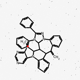 C=C1c2ccccc2N2N=C(c3ccccc3)N(c3ccccc3)C2C2C1c1ccccc1N1c3cncnc3N(C)C21